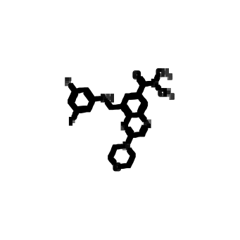 CN(C)C(=O)c1cc(CNc2cc(F)cc(F)c2)c2nc(N3CCOCC3)cnc2c1